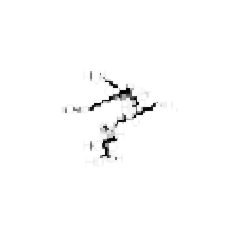 CCCCCCCCCCCCCCCC(=O)N[C@@H](CCCCN)C(=O)N[C@H](C(=O)NC(CCCCN)C(=O)NCCCOP(=O)(O)OC1=C(O)C([C@@H](O)CO)OC1=O)C(C)C